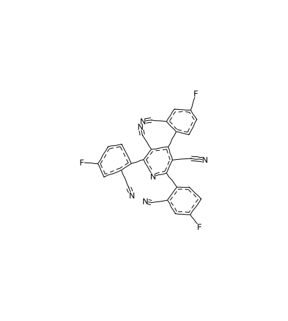 N#Cc1cc(F)ccc1-c1nc(-c2ccc(F)cc2C#N)c(C#N)c(-c2ccc(F)cc2C#N)c1C#N